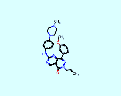 C=CCn1nc(-c2cccc(OC)c2)c2nc(Nc3ccc(N4CCN(C)CC4)cc3)ncc2c1=O